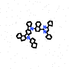 c1ccc(-c2cc(-c3ccccc3)nc(-c3ccc(-n4c5ccccc5c5cc6c7c8ccccc8ccc7n(-c7ccc8ccccc8c7)c6cc54)c4ccccc34)n2)cc1